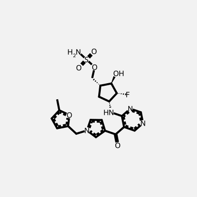 Cc1ccc(Cn2ccc(C(=O)c3cncnc3N[C@@H]3C[C@H](COS(N)(=O)=O)[C@@H](O)[C@@H]3F)c2)o1